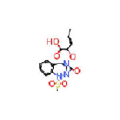 CC=CC(ON1C(=O)N2CC1c1ccccc1N2S(C)(=O)=O)C(=O)O